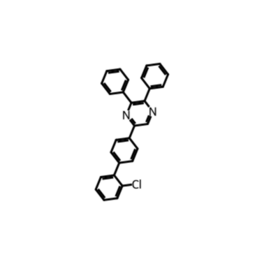 Clc1ccccc1-c1ccc(-c2cnc(-c3ccccc3)c(-c3ccccc3)n2)cc1